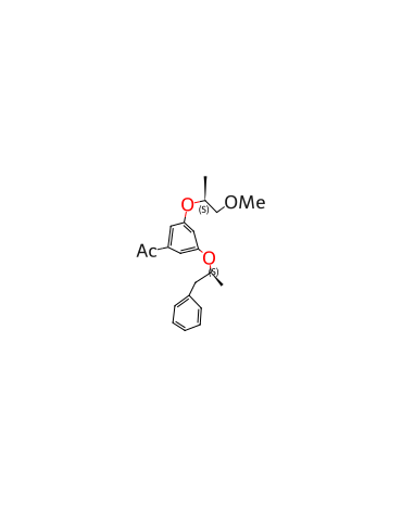 COC[C@H](C)Oc1cc(O[C@@H](C)Cc2ccccc2)cc(C(C)=O)c1